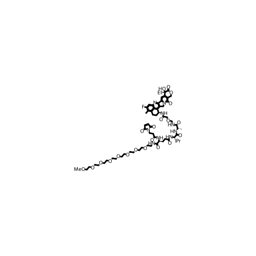 CC[C@@]1(O)C(=O)OCc2c1cc1n(c2=O)Cc2c-1nc1cc(F)c(C)c3c1c2[C@@H](NC(=O)COCNC(=O)[C@H](C)NC(=O)[C@@H](NC(=O)CC[C@H](NC(=O)CCN1C(=O)C=CC1=O)C(=O)NCCOCCOCCOCCOCCOCCOCCOCCOC)C(C)C)CC3